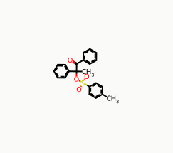 Cc1ccc(S(=O)(=O)OC(C)(C(=O)c2ccccc2)c2ccccc2)cc1